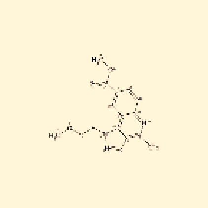 COCCn1ncc2c(N)nc3ccc(C(=O)OC)cc3c21